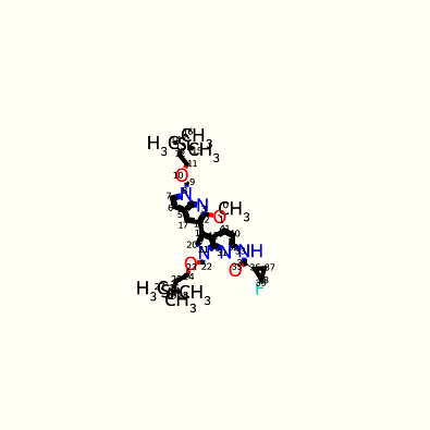 COc1nc2c(ccn2COCC[Si](C)(C)C)cc1-c1cn(COCC[Si](C)(C)C)c2nc(NC(=O)[C@@H]3C[C@@H]3F)ccc12